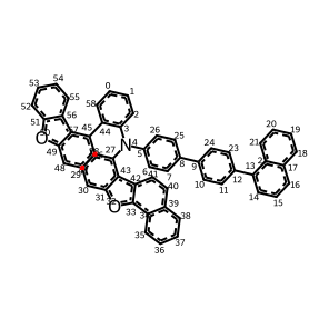 c1ccc(N(c2ccc(-c3ccc(-c4cccc5ccccc45)cc3)cc2)c2cccc3oc4c5ccccc5ccc4c23)c(-c2cccc3oc4ccccc4c23)c1